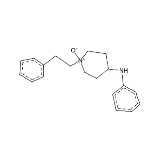 [O-][N+]1(CCc2ccccc2)CCC(Nc2ccccc2)CC1